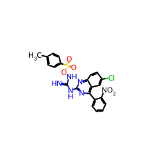 Cc1ccc(S(=O)(=O)ONC(=N)Nc2nc(-c3ccccc3[N+](=O)[O-])c3cc(Cl)ccc3n2)cc1